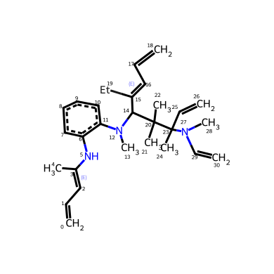 C=C/C=C(\C)Nc1ccccc1N(C)C(/C(=C/C=C)CC)C(C)(C)C(C)(C=C)N(C)C=C